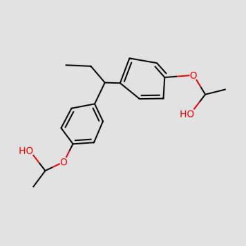 CCC(c1ccc(OC(C)O)cc1)c1ccc(OC(C)O)cc1